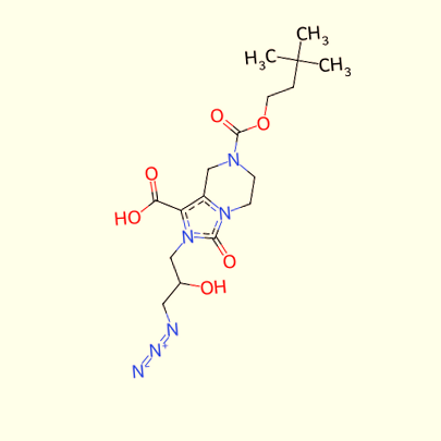 CC(C)(C)CCOC(=O)N1CCn2c(c(C(=O)O)n(CC(O)CN=[N+]=[N-])c2=O)C1